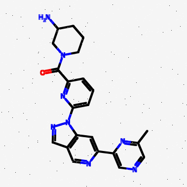 Cc1cncc(-c2cc3c(cn2)cnn3-c2cccc(C(=O)N3CCCC(N)C3)n2)n1